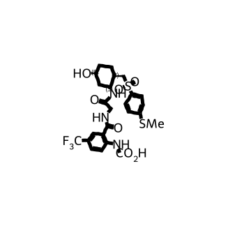 CSc1ccc(S(=O)(=O)C[C@@H]2CC[C@H](O)C[C@@H]2NC(=O)CNC(=O)c2cc(C(F)(F)F)ccc2NC(=O)O)cc1